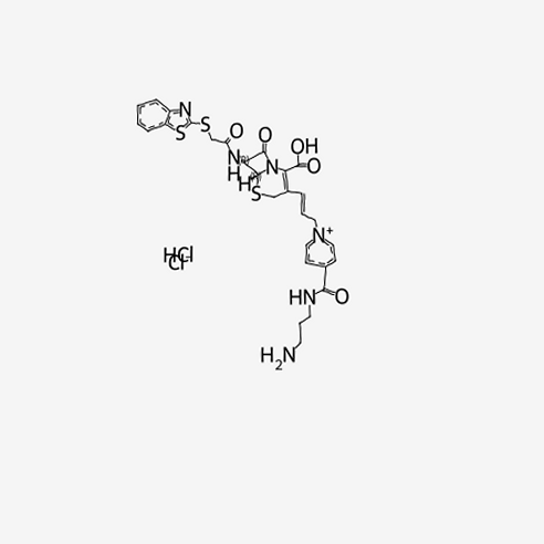 Cl.NCCCNC(=O)c1cc[n+](CC=CC2=C(C(=O)O)N3C(=O)[C@@H](NC(=O)CSc4nc5ccccc5s4)[C@H]3SC2)cc1.[Cl-]